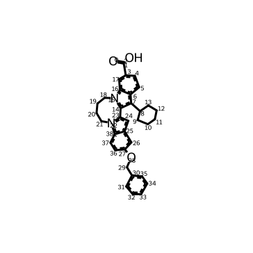 O=C(O)c1ccc2c(C3CCCCC3)c3n(c2c1)CCCCn1c-3cc2cc(OCc3ccccc3)ccc21